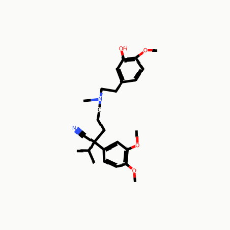 COc1ccc(CCN(C)CCCC(C#N)(c2ccc(OC)c(OC)c2)C(C)C)cc1O